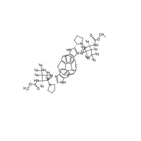 [2H]C([2H])([2H])C([2H])(C([2H])([2H])[2H])[C@]([2H])(NC(=O)OC)C(=O)N1CCC[C@H]1c1nc2cc(-c3cc4ccc3CCc3ccc(c(-c5ccc6[nH]c([C@@H]7CCCN7C(=O)[C@@]([2H])(NC(=O)OC)C([2H])(C([2H])([2H])[2H])C([2H])([2H])[2H])nc6c5)c3)CC4)ccc2[nH]1